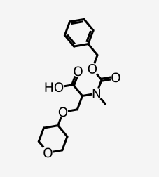 CN(C(=O)OCc1ccccc1)C(COC1CCOCC1)C(=O)O